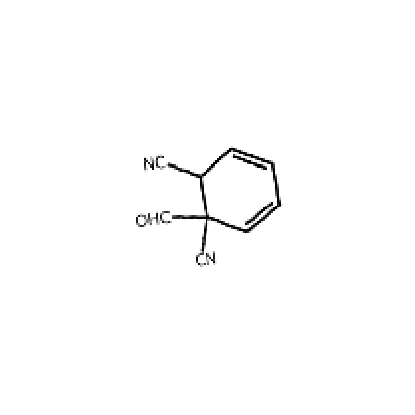 N#CC1C=CC=CC1(C#N)C=O